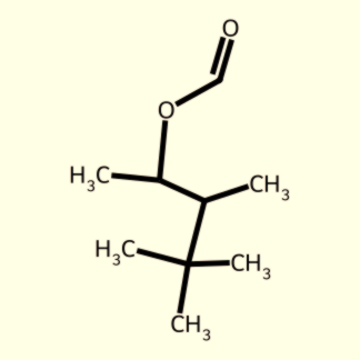 CC(OC=O)C(C)C(C)(C)C